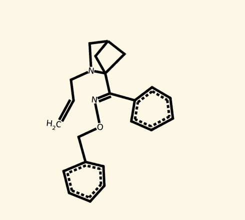 C=CCN1CC2CC1(/C(=N/OCc1ccccc1)c1ccccc1)C2